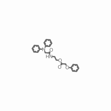 O=C(CN(c1ccccc1)c1ccccc1)NCCOC(=O)COc1ccccc1